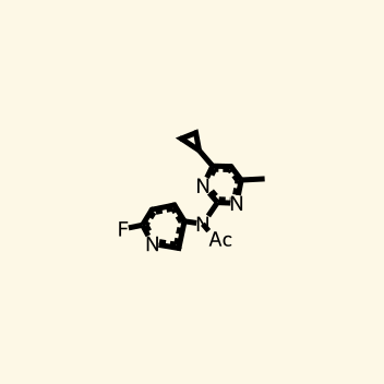 CC(=O)N(c1ccc(F)nc1)c1nc(C)cc(C2CC2)n1